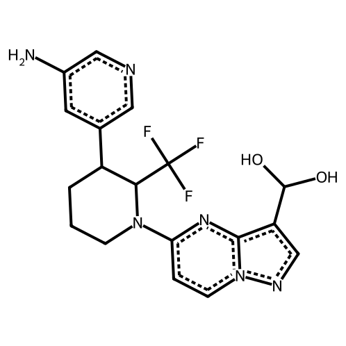 Nc1cncc(C2CCCN(c3ccn4ncc(C(O)O)c4n3)C2C(F)(F)F)c1